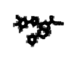 COC(=O)C1=C[C@@H](n2cc(-c3cc(F)c(F)c(F)c3)nn2)[C@H]2O[C@H](c3ccccc3)OC[C@H]2O1